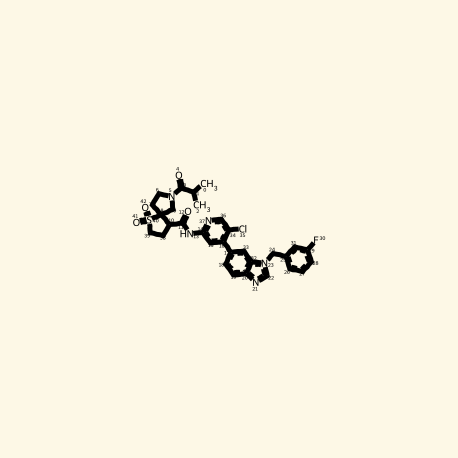 CC(C)C(=O)N1CCC2(C1)C(C(=O)Nc1cc(-c3ccc4ncn(Cc5cccc(F)c5)c4c3)c(Cl)cn1)CCS2(=O)=O